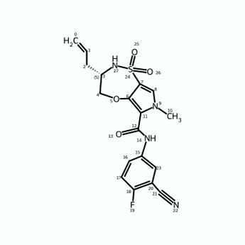 C=CC[C@H]1COc2c(cn(C)c2C(=O)Nc2ccc(F)c(C#N)c2)S(=O)(=O)N1